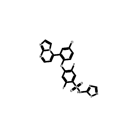 O=S(=O)(Nc1ncns1)c1cc(F)c(Oc2ccc(Cl)cc2-c2ccnc3nccn23)cc1F